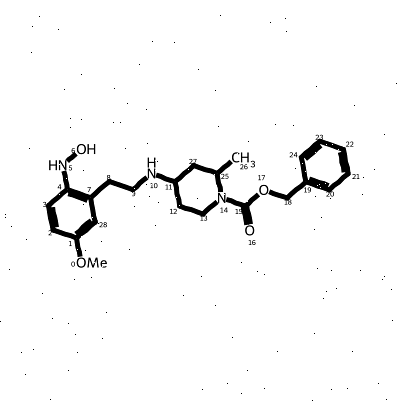 COc1ccc(NO)c(CCNC2CCN(C(=O)OCc3ccccc3)C(C)C2)c1